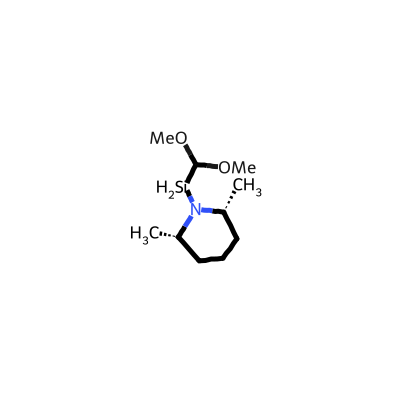 COC(OC)[SiH2]N1[C@H](C)CCC[C@@H]1C